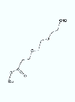 CC(C)(C)OC(=O)CCOCCOCCC=O